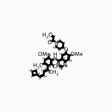 C=CC(=O)N1CCC(Oc2cc3c(Nc4c(OC)cc(C)c(/C(C)=C/C=C\C5CCC5)c4C)ncnc3cc2OC)CC1